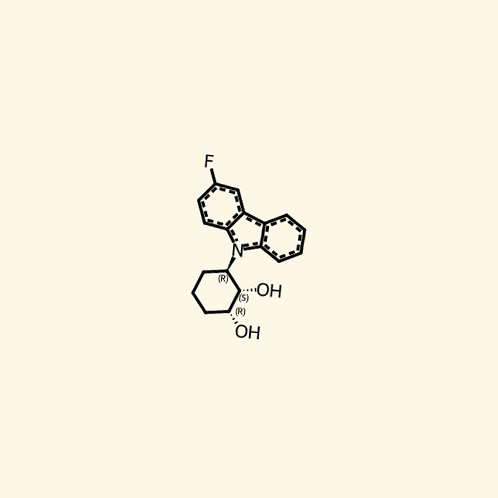 O[C@@H]1[C@H](O)CCC[C@H]1n1c2ccccc2c2cc(F)ccc21